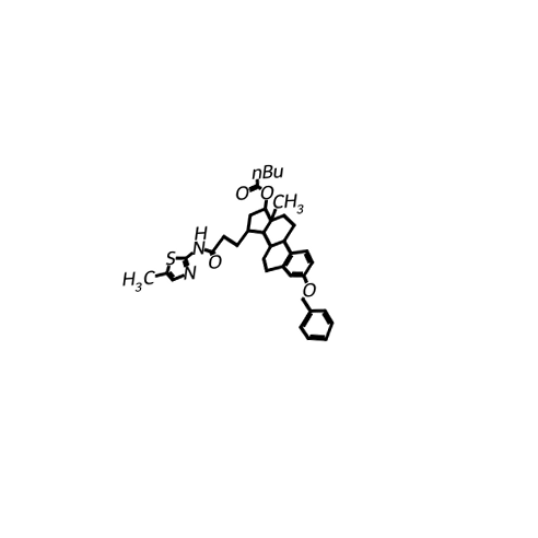 CCCCC(=O)OC1CC(CCC(=O)Nc2ncc(C)s2)C2C3CCc4cc(OCc5ccccc5)ccc4C3CCC12C